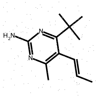 C/C=C/c1c(C)nc(N)nc1C(C)(C)C